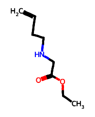 C=CCCNCC(=O)OCC